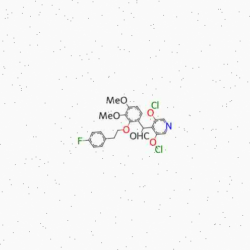 COc1ccc(C(C=O)c2c(OCl)cncc2OCl)c(OCCc2ccc(F)cc2)c1OC